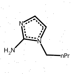 CCCCn1ccnc1N